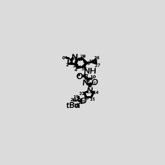 Cn1cc2cc(NC(=O)c3coc(N4CC[C@H](O[Si](C)(C)C(C)(C)C)C4)n3)c(C3CC3)cc2n1